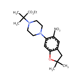 CCOC(=O)C(C)(C)N1CCN(c2cc3c(cc2[N+](=O)[O-])CC(C)(C)O3)CC1